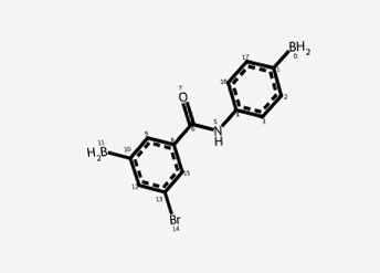 Bc1ccc(NC(=O)c2cc(B)cc(Br)c2)cc1